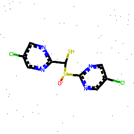 [O-][S+](c1ncc(Cl)cn1)C(S)c1ncc(Cl)cn1